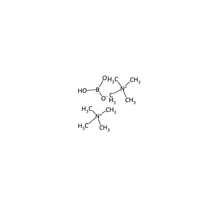 C[N+](C)(C)C.C[N+](C)(C)C.[O-]B([O-])O